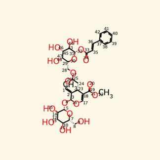 C/C=C1/[C@H](O[C@@H]2O[C@H](CO)[C@@H](O)[C@H](O)[C@H]2O)OC=C(C(=O)OC)[C@H]1CC(=O)OC[C@H]1O[C@@H](OC(=O)/C=C/c2ccccc2)[C@H](O)[C@@H](O)[C@H]1O